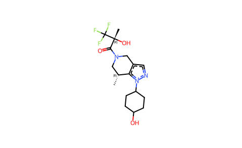 C[C@@H]1CN(C(=O)[C@@](C)(O)C(F)(F)F)Cc2cnn(C3CCC(O)CC3)c21